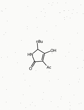 CCCCC1NC(=O)C(C(C)=O)=C1O